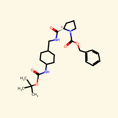 CC(C)(C)OC(=O)NC1CCC(CNC(=O)[C@@H]2CCCN2C(=O)OCc2ccccc2)CC1